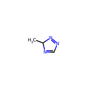 CC1N=CN=N1